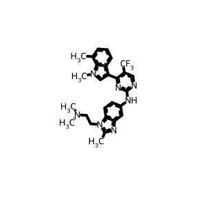 Cc1cccc2c(-c3nc(Nc4ccc5c(c4)nc(C)n5CCN(C)C)ncc3C(F)(F)F)cn(C)c12